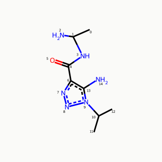 CC(N)NC(=O)c1nnn(C(C)C)c1N